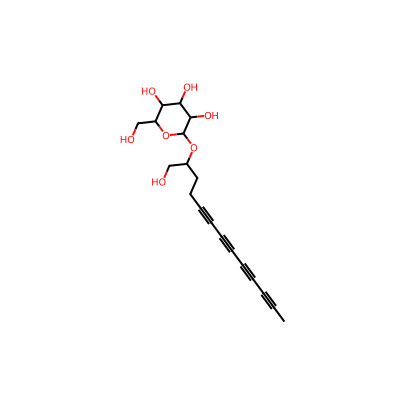 CC#CC#CC#CC#CCCC(CO)OC1OC(CO)C(O)C(O)C1O